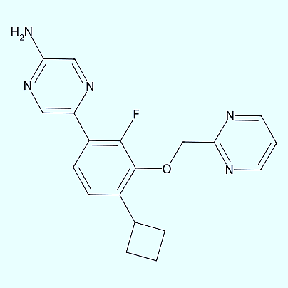 Nc1cnc(-c2ccc(C3CCC3)c(OCc3ncccn3)c2F)cn1